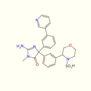 CN1C(=O)C(c2cccc(-c3cccnc3)c2)(c2cccc(C3COCCN3S(=O)(=O)O)c2)N=C1N